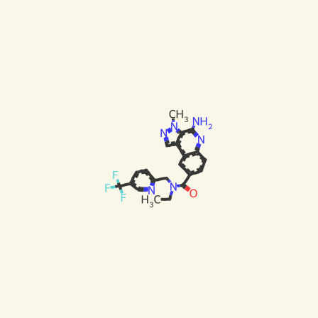 CCN(Cc1ccc(C(F)(F)F)cn1)C(=O)c1ccc2nc(N)c3c(cnn3C)c2c1